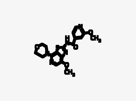 COc1cc(C(=O)Nc2nc3c(OC)cnc(N4CCOCC4)c3s2)ccn1